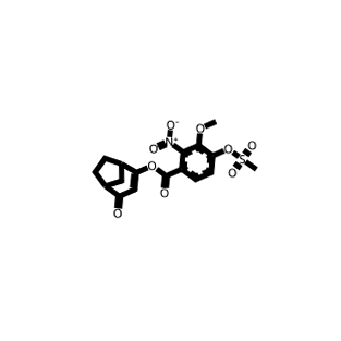 COc1c(OS(C)(=O)=O)ccc(C(=O)OC2=CC(=O)C3CCC2C3)c1[N+](=O)[O-]